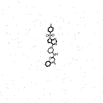 Cc1ccc(S(=O)(=O)n2ccc3c(N4CCCC(NC(=O)CN(C)c5ccccc5)C4)ncnc32)cc1